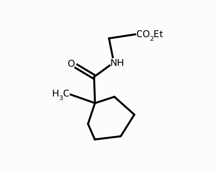 CCOC(=O)CNC(=O)C1(C)CCCCC1